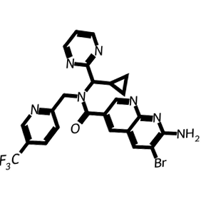 Nc1nc2ncc(C(=O)N(Cc3ccc(C(F)(F)F)cn3)C(c3ncccn3)C3CC3)cc2cc1Br